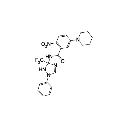 O=C(NC1(C(F)(F)F)N=CN(c2ccccc2)N1)c1cc(N2CCCCC2)ccc1[N+](=O)[O-]